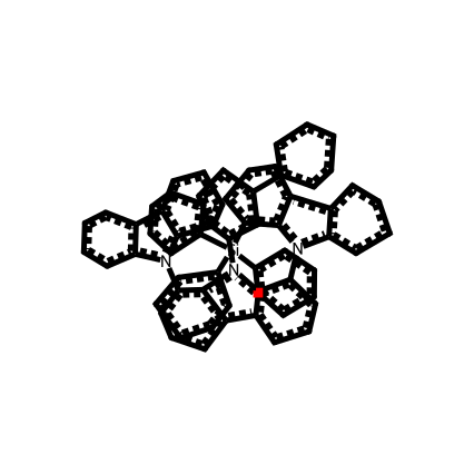 c1ccc(-c2cccc(-n3c4c(-n5c6ccccc6c6ccccc65)cccc4c4cccc(-n5c6ccccc6c6cccc([Si](c7ccccc7)(c7ccccc7)c7ccccc7)c65)c43)c2)cc1